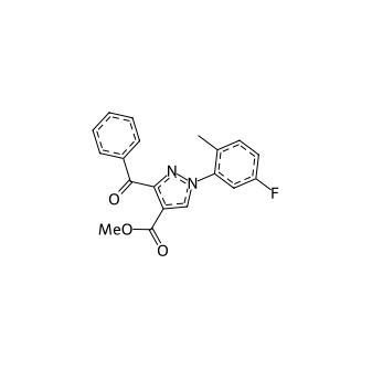 COC(=O)c1cn(-c2cc(F)ccc2C)nc1C(=O)c1ccccc1